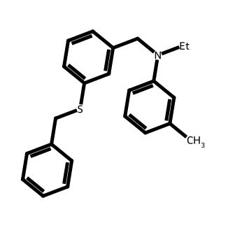 CCN(Cc1cccc(SCc2ccccc2)c1)c1cccc(C)c1